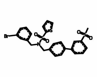 CS(=O)(=O)c1cccc(-c2ccc(CN(Cc3cccc(Br)c3)S(=O)(=O)c3cccs3)cc2)c1